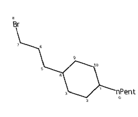 CCCCCC1CCC(CCCBr)CC1